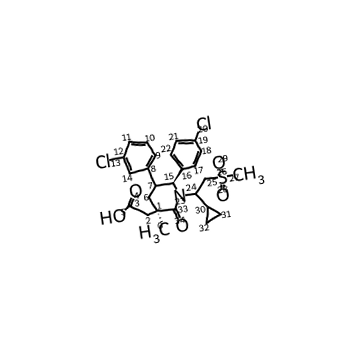 C[C@]1(CC(=O)O)CC(c2cccc(Cl)c2)[C@@H](c2ccc(Cl)cc2)N(C(CS(C)(=O)=O)C2CC2)C1=O